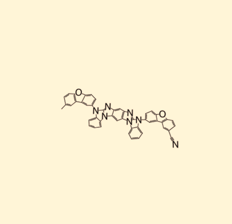 Cc1ccc2oc3ccc(-n4c5ccccc5n5c6cc7c(cc6nc45)nc4n(-c5ccc6oc8ccc(C#N)cc8c6c5)c5ccccc5n74)cc3c2c1